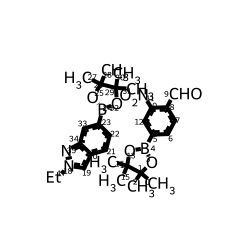 CC1(C)OB(c2ccc(C=O)c([N+](=O)[O-])c2)OC1(C)C.CCn1cc2ccc(B3OC(C)(C)C(C)(C)O3)cc2n1